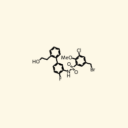 COc1c(Cl)cc(CBr)cc1S(=O)(=O)Nc1cc(-c2ccccc2CCO)ccc1F